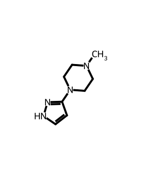 CN1CCN(c2cc[nH]n2)CC1